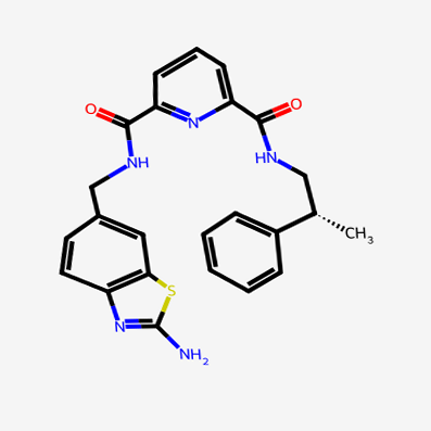 C[C@@H](CNC(=O)c1cccc(C(=O)NCc2ccc3nc(N)sc3c2)n1)c1ccccc1